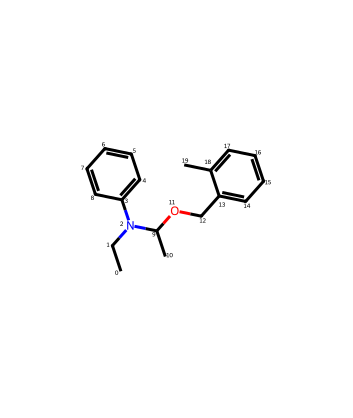 CCN(c1ccccc1)C(C)OCc1ccccc1C